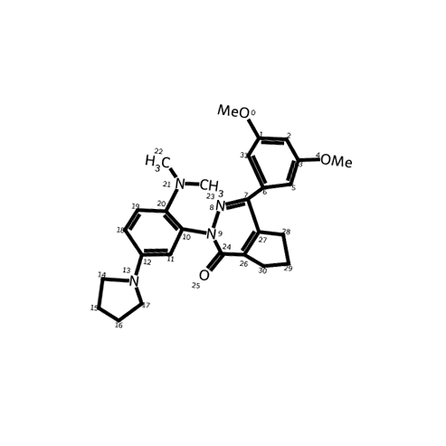 COc1cc(OC)cc(-c2nn(-c3cc(N4CCCC4)ccc3N(C)C)c(=O)c3c2CCC3)c1